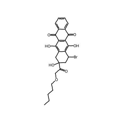 CCCCCOCC(=O)C1(O)Cc2c(O)c3c(c(O)c2C(Br)C1)C(=O)c1ccccc1C3=O